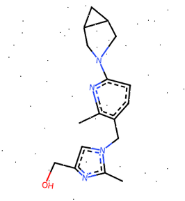 Cc1nc(N2CC3CC3C2)ccc1Cn1cc(CO)nc1C